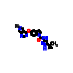 CCN1Cc2ncnc(Oc3ccc4c(ccn4C(=O)Nc4cc(C5(C)CC5)[nH]n4)c3)c2C1